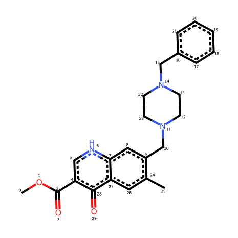 COC(=O)c1c[nH]c2cc(CN3CCN(Cc4ccccc4)CC3)c(C)cc2c1=O